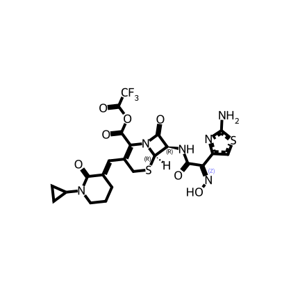 Nc1nc(/C(=N/O)C(=O)N[C@@H]2C(=O)N3C(C(=O)OC(=O)C(F)(F)F)=C(C=C4CCCN(C5CC5)C4=O)CS[C@H]23)cs1